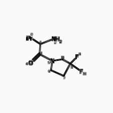 CC(C)C(N)C(=O)N1CCC(F)(F)C1